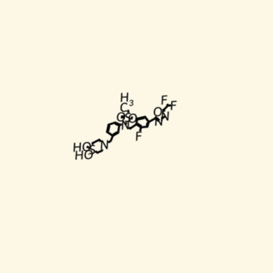 CCS(=O)(=O)N(Cc1ccc(-c2nnc(C(F)F)o2)cc1F)c1cccc(CN2CCS(O)(O)CC2)c1